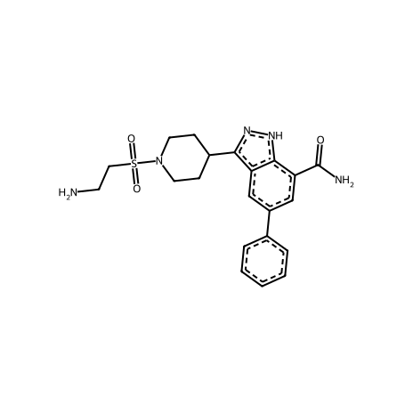 NCCS(=O)(=O)N1CCC(c2n[nH]c3c(C(N)=O)cc(-c4ccccc4)cc23)CC1